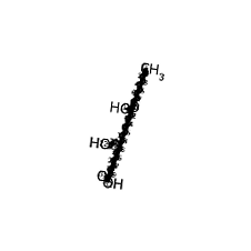 CCCCCCCCCO[C@H](O)CCCCCCCN(CCO)CCCCCCCC(=O)O